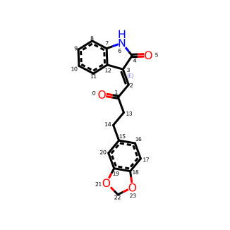 O=C(/C=C1/C(=O)Nc2ccccc21)CCc1ccc2c(c1)OCO2